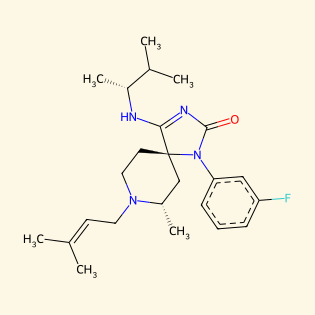 CC(C)=CCN1CC[C@@]2(C[C@@H]1C)C(N[C@H](C)C(C)C)=NC(=O)N2c1cccc(F)c1